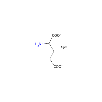 NC(CCC(=O)[O-])C(=O)[O-].[Pt+2]